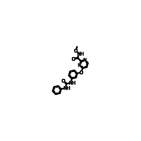 CONC(=O)c1nccc(Oc2cccc(NC(=O)Nc3ccccc3)c2)n1